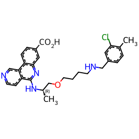 Cc1ccc(CNCCCCOC[C@@H](C)Nc2nc3cc(C(=O)O)ccc3c3cnccc23)cc1Cl